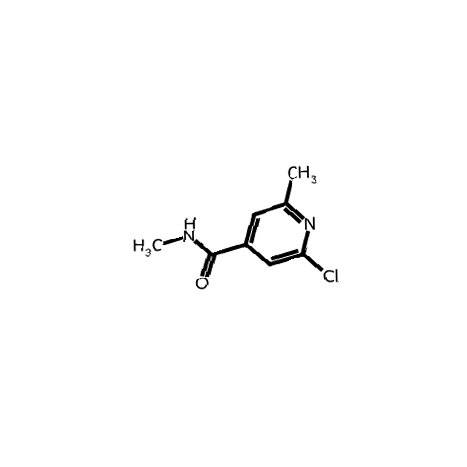 CNC(=O)c1cc(C)nc(Cl)c1